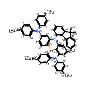 CC(C)(C)c1ccc(N(c2ccc(C(C)(C)C)cc2)c2ccc3c(c2)N(c2cccc4c2-c2ccccc2C4(C)C)c2cc(C(C)(C)C)cc4c2B3c2cc(C(C)(C)C)ccc2N4c2ccc(C(C)(C)C)cc2)cc1